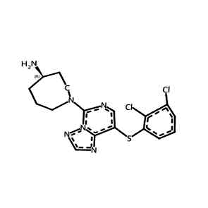 N[C@@H]1CCCN(c2ncc(Sc3cccc(Cl)c3Cl)c3ncnn23)CC1